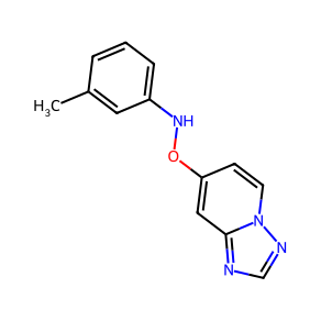 Cc1cccc(NOc2ccn3ncnc3c2)c1